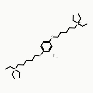 CC[N+](CC)(CC)CCCCCSc1ccc(SCCCCC[N+](CC)(CC)CC)cc1.[I-].[I-]